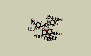 CCOc1ccc([SiH](O[SiH](c2ccc(OCC)c(C(C)(C)C)c2)c2ccc(OCC)c(C(C)(C)C)c2)c2ccc(OCC)c(C(C)(C)C)c2)cc1C(C)(C)C